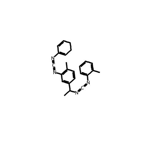 Cc1ccccc1N=C=NC(C)c1ccc(C)c(N=C=NC2=CCCC=C2)c1